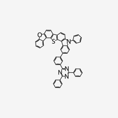 c1ccc(-c2nc(-c3ccccc3)nc(-c3cccc(-c4ccc5c(c4)c4c6sc7c(ccc8oc9ccccc9c87)c6ccc4n5-c4ccccc4)c3)n2)cc1